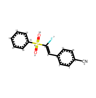 N#Cc1ccc(/C=C(\F)S(=O)(=O)c2ccccc2)cc1